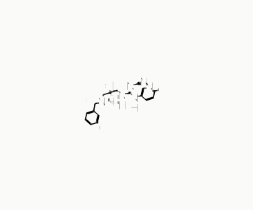 N#CN=C(NCC(Cl)(Cl)CNC(=O)c1cccc(Cl)c1)Nc1ccc(Cl)nc1